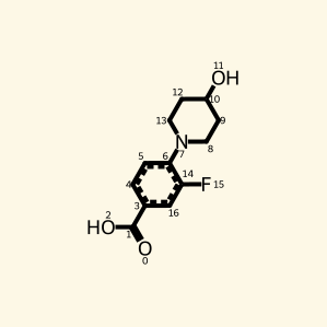 O=C(O)c1ccc(N2CCC(O)CC2)c(F)c1